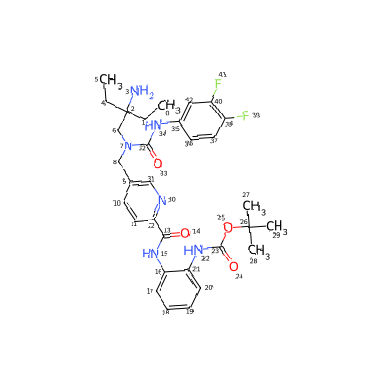 CCC(N)(CC)CN(Cc1ccc(C(=O)Nc2ccccc2NC(=O)OC(C)(C)C)nc1)C(=O)Nc1ccc(F)c(F)c1